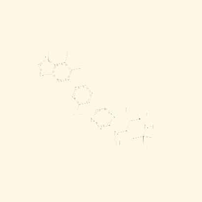 CN(c1ncc(-c2ccc(-c3cc4nc[nH]c4c(F)c3F)cc2O)nn1)C1CC(C)(C)NC(C)(C)C1